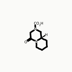 O=C(O)N1CC(=O)N2CCCC[C@H]2C1